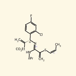 C=C(S/C=C\C)/C(=N/[C@H](C(=C)C(=O)OCC)c1ccc(F)cc1Cl)NCCC